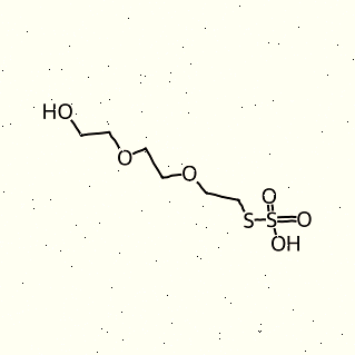 O=S(=O)(O)SCCOCCOCCO